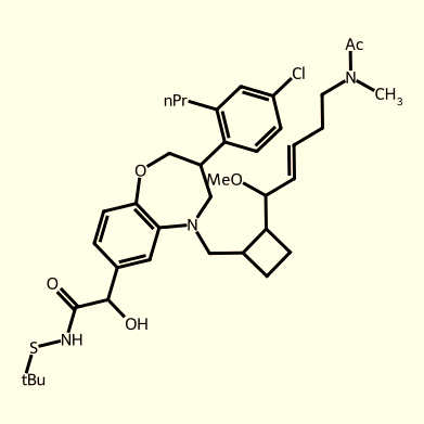 CCCc1cc(Cl)ccc1C1COc2ccc(C(O)C(=O)NSC(C)(C)C)cc2N(CC2CCC2C(/C=C/CCN(C)C(C)=O)OC)C1